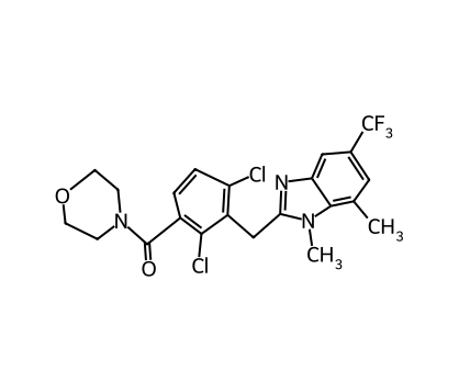 Cc1cc(C(F)(F)F)cc2nc(Cc3c(Cl)ccc(C(=O)N4CCOCC4)c3Cl)n(C)c12